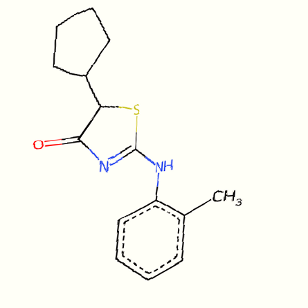 Cc1ccccc1NC1=NC(=O)C(C2CCCC2)S1